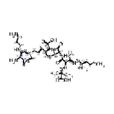 CCC/C=C(\N)S/N=C(C)/C(=N/OC(C)(C)C(=O)O)C(=O)N[C@@H]1C(=O)N2C(C(=O)O)=C(/C=C/C[N+]3=C/C(NCCCN)=C(N)\C=C\C=C\3)CSC12